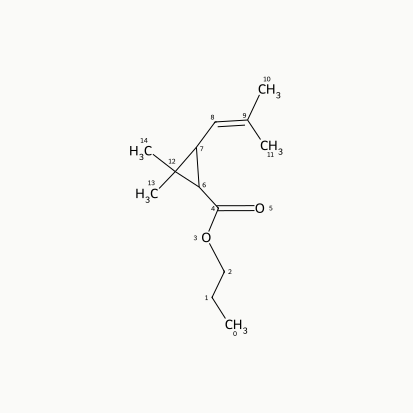 CCCOC(=O)C1C(C=C(C)C)C1(C)C